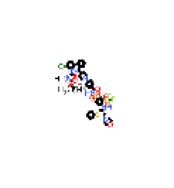 CN(CC(=O)NC(c1ccccc1-c1ccc(Cl)cc1)C1CCN(c2ccc(C(=O)NS(=O)(=O)c3ccc(N[C@H](CCN4CCOCC4)CSc4ccccc4)c(S(=O)(=O)C(F)(F)F)c3)cc2)CC1)C(=O)OC(C)(C)C